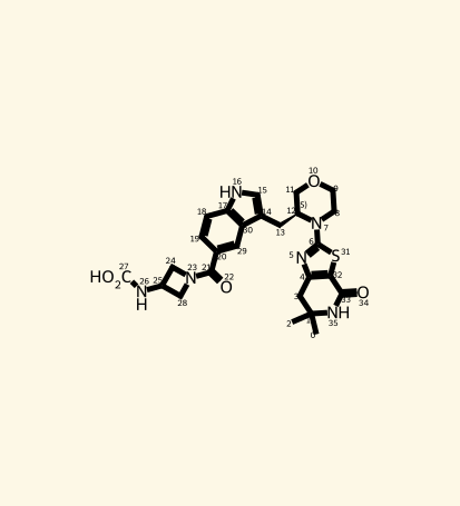 CC1(C)Cc2nc(N3CCOC[C@@H]3Cc3c[nH]c4ccc(C(=O)N5CC(NC(=O)O)C5)cc34)sc2C(=O)N1